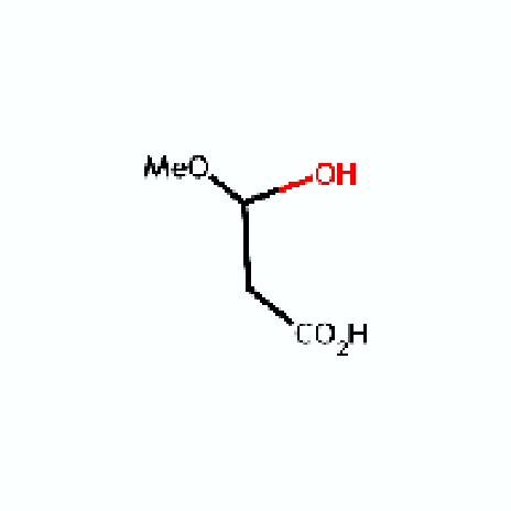 COC(O)CC(=O)O